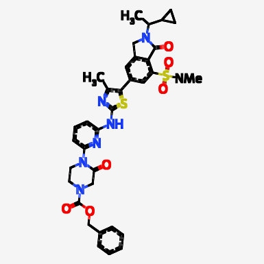 CNS(=O)(=O)c1cc(-c2sc(Nc3cccc(N4CCN(C(=O)OCc5ccccc5)CC4=O)n3)nc2C)cc2c1C(=O)N(C(C)C1CC1)C2